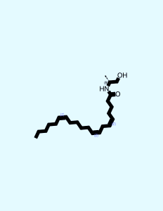 CCCCC/C=C\CCCC/C=C\C/C=C\CCCC(=O)N[C@H](C)CO